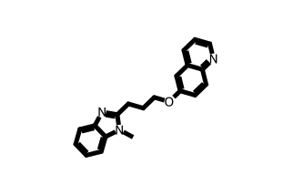 Cn1c(CCCOc2ccc3ncccc3c2)nc2ccccc21